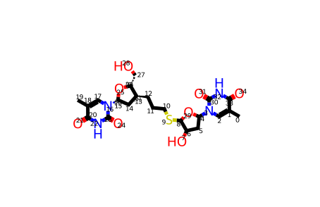 Cc1cn(C2CC(O)C(SCCC[C@H]3C[C@H](n4cc(C)c(=O)[nH]c4=O)O[C@@H]3CO)O2)c(=O)[nH]c1=O